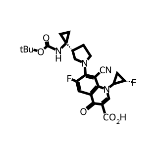 CC(C)(C)OC(=O)NC1([C@@H]2CCN(c3c(F)cc4c(=O)c(C(=O)O)cn(C5C[C@@H]5F)c4c3C#N)C2)CC1